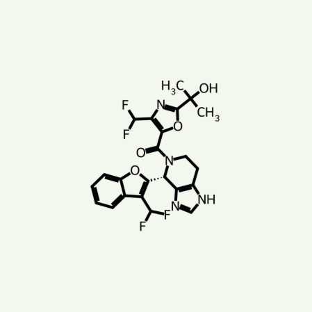 CC(C)(O)c1nc(C(F)F)c(C(=O)N2CCc3[nH]cnc3[C@@H]2c2oc3ccccc3c2C(F)F)o1